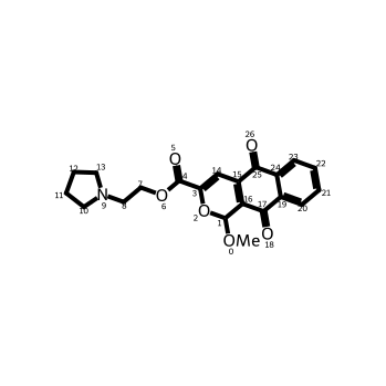 COC1OC(C(=O)OCCN2CCCC2)=CC2=C1C(=O)c1ccccc1C2=O